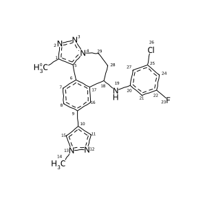 Cc1nnn2c1-c1ccc(-c3cnn(C)c3)cc1C(Nc1cc(F)cc(Cl)c1)CC2